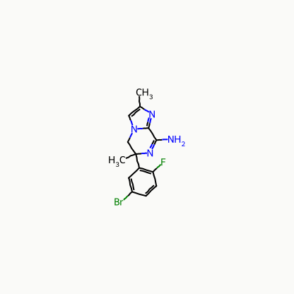 Cc1cn2c(n1)C(N)=NC(C)(c1cc(Br)ccc1F)C2